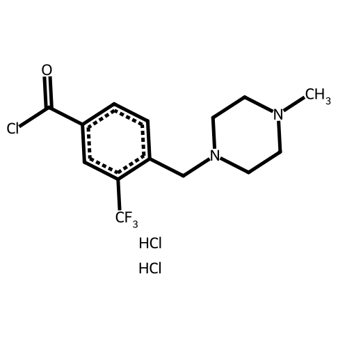 CN1CCN(Cc2ccc(C(=O)Cl)cc2C(F)(F)F)CC1.Cl.Cl